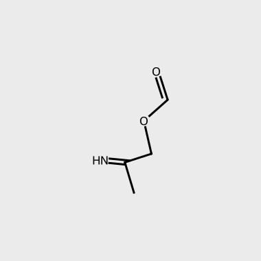 CC(=N)COC=O